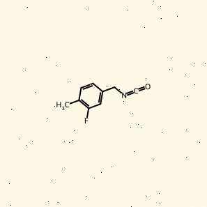 Cc1ccc(CN=C=O)cc1F